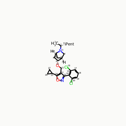 CCC[C@@H](C)C(C)N1C[C@@H]2C[C@H]1C[C@H]2OCc1c(-c2c(Cl)cccc2Cl)noc1C1CC1